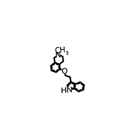 CN1CCc2c(cccc2OCCc2c[nH]c3ccccc23)C1